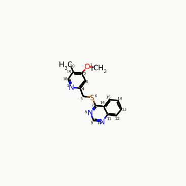 COc1cc(CSc2ncnc3ccccc23)ncc1C